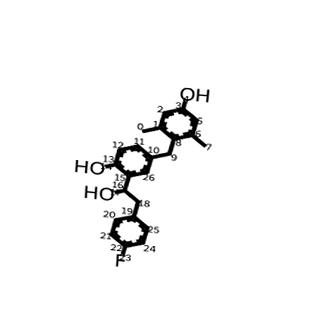 Cc1cc(O)cc(C)c1Cc1ccc(O)c(C(O)Cc2ccc(F)cc2)c1